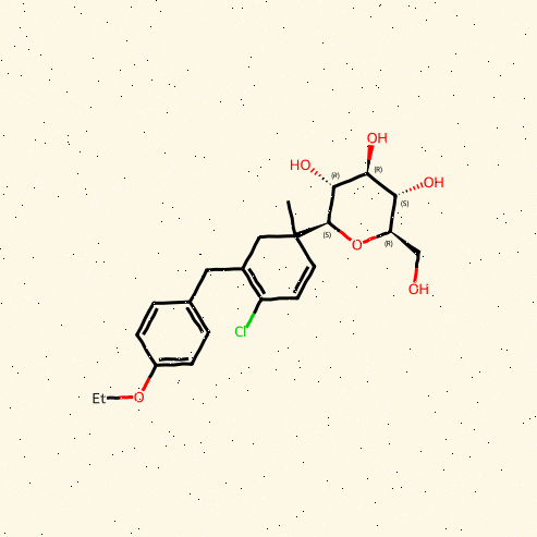 CCOc1ccc(CC2=C(Cl)C=CC(C)([C@@H]3O[C@H](CO)[C@@H](O)[C@H](O)[C@H]3O)C2)cc1